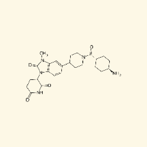 Cn1c(=O)n(C2CCC(=O)NC2=O)c2ccc(C3CCN(C(=O)[C@H]4CC[C@H](N)CC4)CC3)cc21